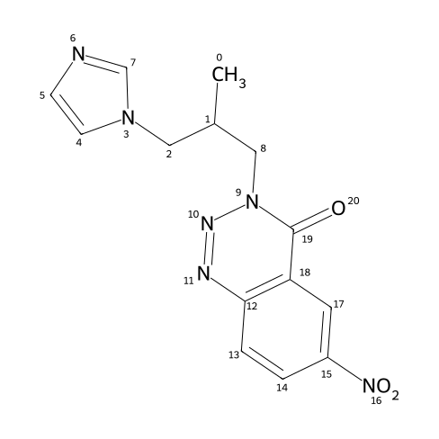 CC(Cn1ccnc1)Cn1nnc2ccc([N+](=O)[O-])cc2c1=O